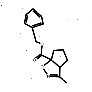 CC1=NOC2(C(=O)OCc3ccccc3)CCCC12